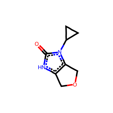 O=c1[nH]c2c(n1C1CC1)COC2